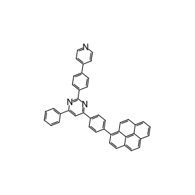 c1ccc(-c2cc(-c3ccc(-c4ccc5ccc6cccc7ccc4c5c67)cc3)nc(-c3ccc(-c4ccncc4)cc3)n2)cc1